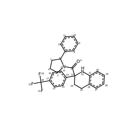 O=C(N1CCCC1c1ccccc1)C1(c2ccc(C(F)(F)F)cc2)CCc2ccccc2N1